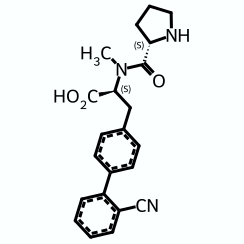 CN(C(=O)[C@@H]1CCCN1)[C@@H](Cc1ccc(-c2ccccc2C#N)cc1)C(=O)O